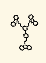 C(=C\n1c2ccccc2c2ccccc21)/c1ccc(-c2cc(/C=C/n3c4ccccc4c4ccccc43)cc(/C=C/n3c4ccccc4c4ccccc43)c2)cc1